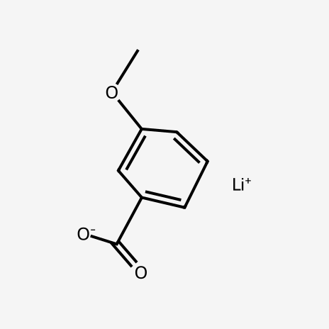 COc1cccc(C(=O)[O-])c1.[Li+]